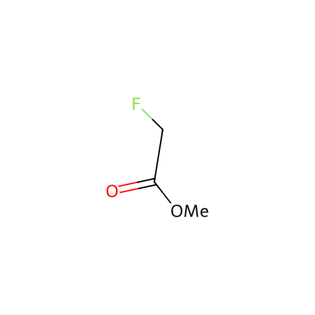 [CH2]OC(=O)CF